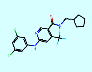 O=C(NCC1CCCC1)c1cnc(Nc2cc(Cl)cc(Cl)c2)cc1C(F)(F)F